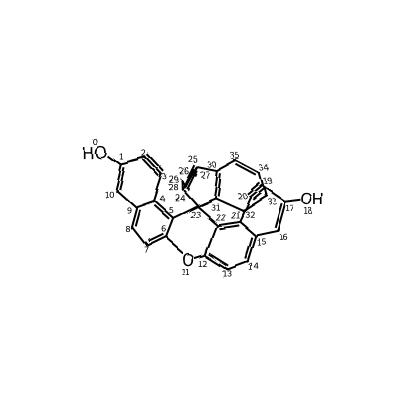 Oc1c#cc2c3c(ccc2c1)Oc1ccc2cc(O)c#cc2c1C31C2=C(C=CCC2)C2=C1CCC=C2